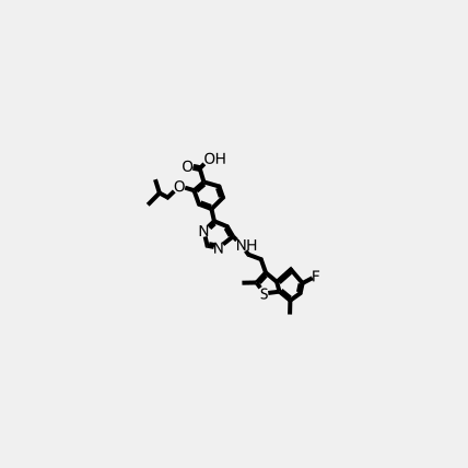 Cc1sc2c(C)cc(F)cc2c1CCNc1cc(-c2ccc(C(=O)O)c(OCC(C)C)c2)ncn1